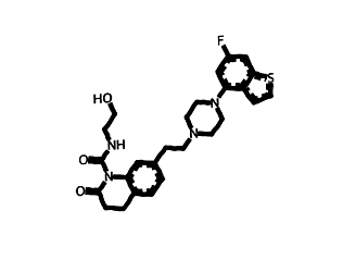 O=C1CCc2ccc(CCN3CCN(c4cc(F)cc5sccc45)CC3)cc2N1C(=O)NCCO